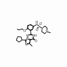 CCCOc1ccc(NS(=O)(=O)N2CCN(C)CC2)cc1-c1nn2c(C3CCCC3)nc(C)c2c(=O)[nH]1